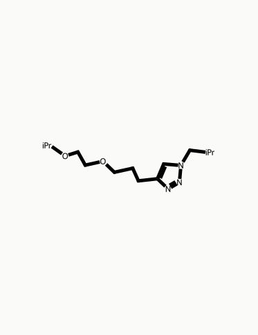 CC(C)Cn1cc(CCCOCCOC(C)C)nn1